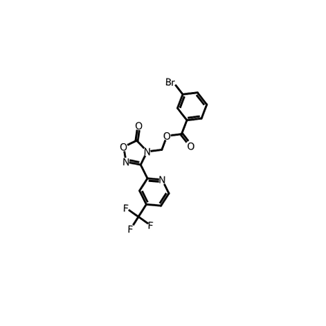 O=C(OCn1c(-c2cc(C(F)(F)F)ccn2)noc1=O)c1cccc(Br)c1